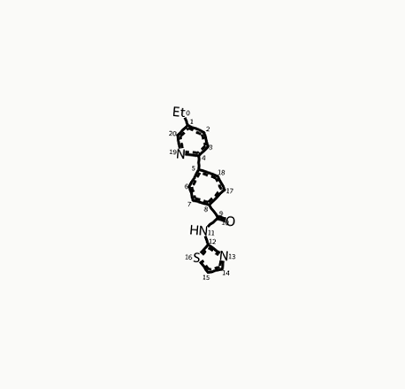 CCc1ccc(-c2ccc(C(=O)Nc3nccs3)cc2)nc1